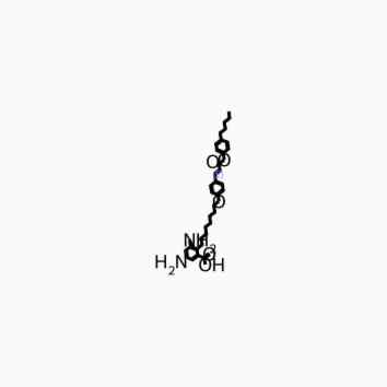 CCCCCc1ccc(OC(=O)/C=C/c2ccc(OCCCCCCCCc3c(N)cc(N)cc3C(=O)O)cc2)cc1